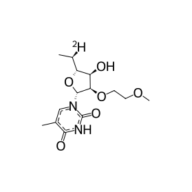 [2H][C@H](C)[C@H]1O[C@@H](n2cc(C)c(=O)[nH]c2=O)[C@H](OCCOC)[C@@H]1O